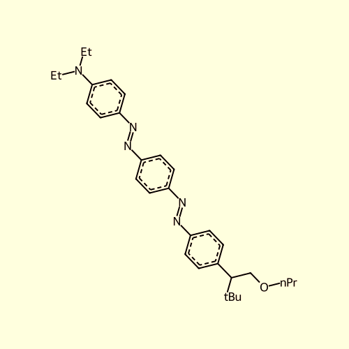 CCCOCC(c1ccc(N=Nc2ccc(N=Nc3ccc(N(CC)CC)cc3)cc2)cc1)C(C)(C)C